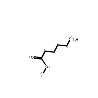 O=C(O)CCCCC(=O)OCl